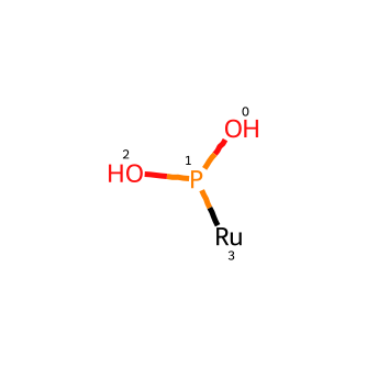 O[P](O)[Ru]